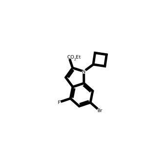 CCOC(=O)c1cc2c(F)cc(Br)cc2n1C1CCC1